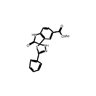 COC(=O)c1ccc2c(c1)C1(NN=C(c3ccccc3)S1)C(=O)N2